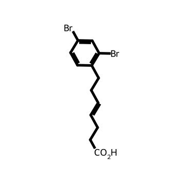 O=C(O)CCC=CCCc1ccc(Br)cc1Br